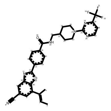 C/C=C(\C)c1cc(C#N)cc2nc(-c3ccc(C(=O)NCC4CCN(c5nccc(C(F)(F)F)n5)CC4)cc3)oc12